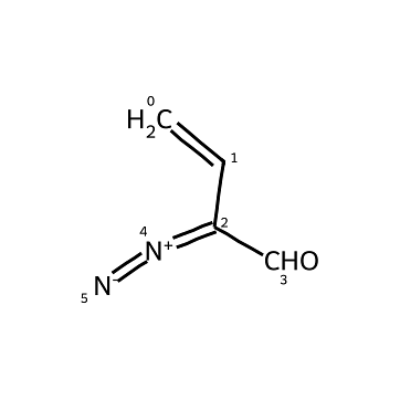 C=CC(C=O)=[N+]=[N-]